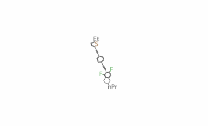 CCCC1CCc2c(cc(F)c(C#Cc3ccc(C#Cc4ccc(CC)s4)cc3)c2F)C1